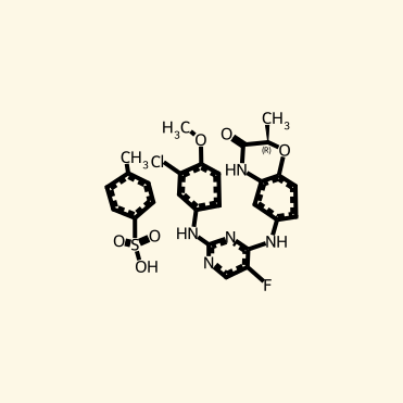 COc1ccc(Nc2ncc(F)c(Nc3ccc4c(c3)NC(=O)[C@@H](C)O4)n2)cc1Cl.Cc1ccc(S(=O)(=O)O)cc1